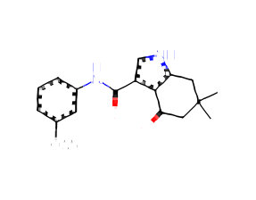 COc1cccc(NC(=O)c2c[nH]c3c2C(=O)CC(C)(C)C3)c1